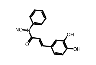 N#CN(C(=O)C=Cc1ccc(O)c(O)c1)c1ccccc1